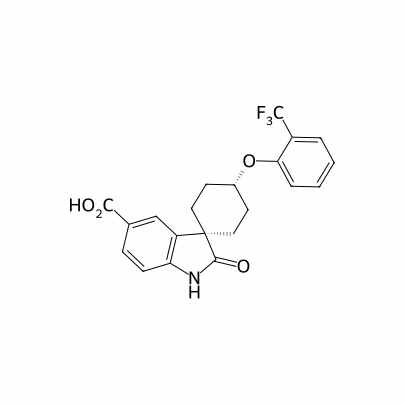 O=C(O)c1ccc2c(c1)[C@]1(CC[C@@H](Oc3ccccc3C(F)(F)F)CC1)C(=O)N2